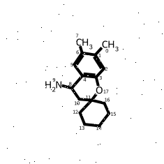 Cc1cc2c(cc1C)C(N)CC1(CCCCC1)O2